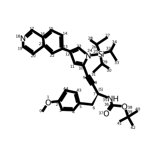 COc1ccc(C[C@@H](C#Cc2cc(-c3ccc4cnccc4c3)cn2[Si](C(C)C)(C(C)C)C(C)C)NC(=O)OC(C)(C)C)cc1